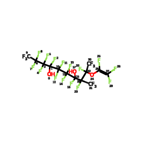 OC(F)(C(F)(F)C(F)(F)C(F)(F)F)C(F)(F)C(F)(F)C(O)(F)C(F)(C(F)(F)F)C(F)(OC(F)=C(F)F)C(F)(F)F